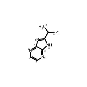 CC(C)C(C)c1nc2nccnc2[nH]1